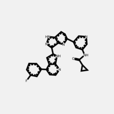 O=C(Nc1cncc(-c2ccc3[nH]nc(-c4cc5c(-c6cccc(F)c6)ccnc5[nH]4)c3n2)c1)C1CC1